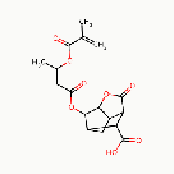 C=C(C)C(=O)OC(C)CC(=O)OC1C2CC3C1OC(=O)C3C2C(=O)O